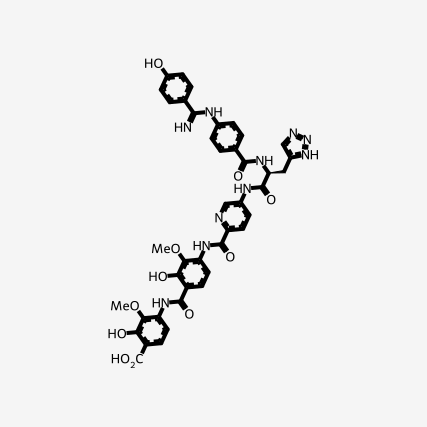 COc1c(NC(=O)c2ccc(NC(=O)c3ccc(NC(=O)[C@H](Cc4cnn[nH]4)NC(=O)c4ccc(NC(=N)c5ccc(O)cc5)cc4)cn3)c(OC)c2O)ccc(C(=O)O)c1O